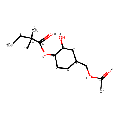 CCC(=O)OCC1CCC(OC(=O)C(C)(CC(C)(C)C)C(C)(C)C)C(O)C1